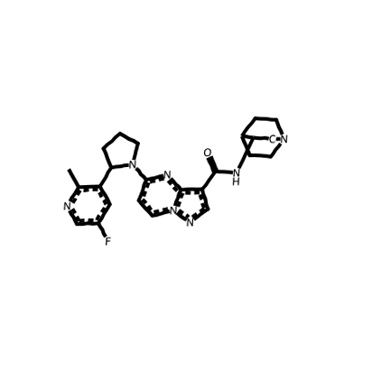 Cc1ncc(F)cc1C1CCCN1c1ccn2ncc(C(=O)NC3CN4CCC3CC4)c2n1